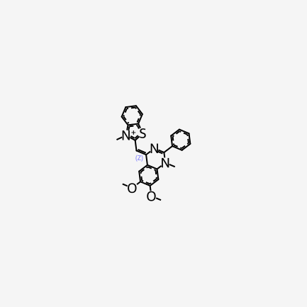 COc1cc2c(cc1OC)N(C)C(c1ccccc1)=N/C2=C\c1sc2ccccc2[n+]1C